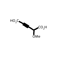 COC(C#CC(=O)O)C(=O)O